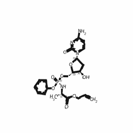 C=CCOC(=O)[C@H](C)N[P@](=O)(OC[C@@H]1O[C@H](n2ccc(N)nc2=O)C[C@H]1O)Oc1ccccc1